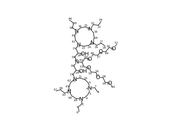 CCCN1CCN(CC)CCCN(CC(O)CN(CC(O)CN2CCN(CCC)CCN(CCC)CCN(CCC)CC2)C(COCCOCCOC)COCCOCCOC)CCN(CCC)CC1